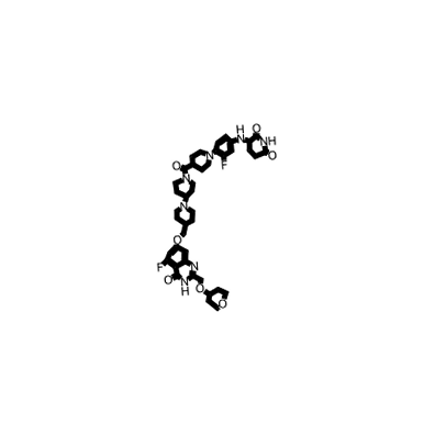 O=C1CCC(Nc2ccc(N3CCC(C(=O)N4CCC(N5CCC(COc6cc(F)c7c(=O)[nH]c(COC8CCOCC8)nc7c6)CC5)CC4)CC3)c(F)c2)C(=O)N1